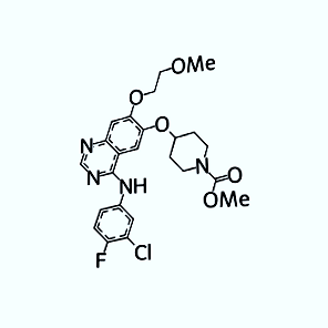 COCCOc1cc2ncnc(Nc3ccc(F)c(Cl)c3)c2cc1OC1CCN(C(=O)OC)CC1